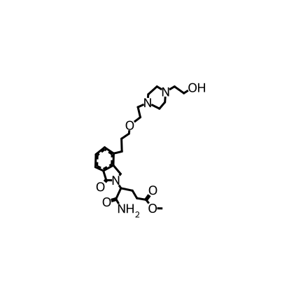 COC(=O)CCC(C(N)=O)N1Cc2c(CCCOCCN3CCN(CCO)CC3)cccc2C1=O